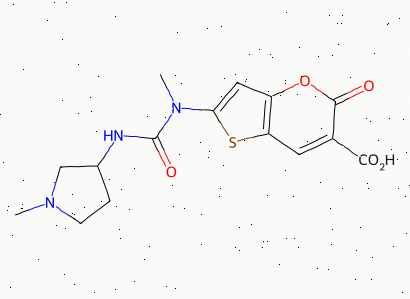 CN1CCC(NC(=O)N(C)c2cc3oc(=O)c(C(=O)O)cc3s2)C1